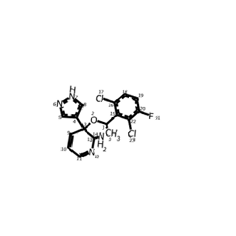 CC(OC1(c2cn[nH]c2)C=CC=NC1N)c1c(Cl)ccc(F)c1Cl